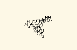 CNC(=O)C(CCCNC(N)=O)NC(=O)C(NC)C(C)C